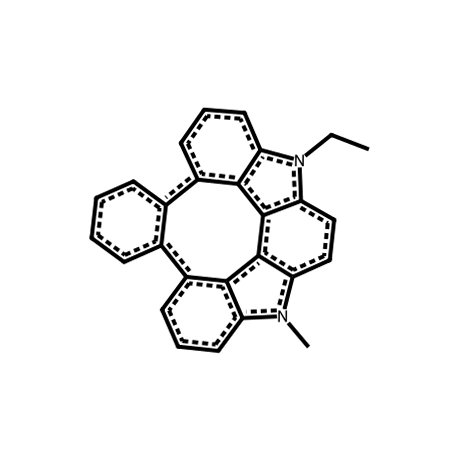 CCn1c2cccc3c4ccccc4c4cccc5c4c4c(c32)c1ccc4n5C